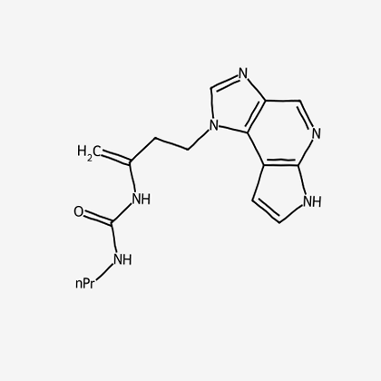 C=C(CCn1cnc2cnc3[nH]ccc3c21)NC(=O)NCCC